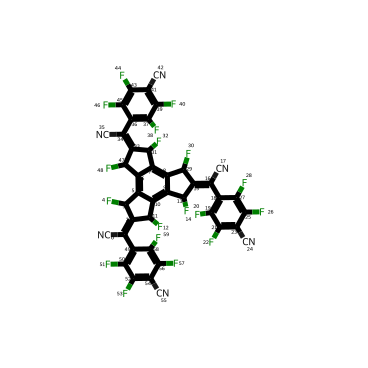 N#CC(=C1C(F)c2c3c(c4c(c2C1F)C(F)C(=C(C#N)c1c(F)c(F)c(C#N)c(F)c1F)C4F)C(F)C(=C(C#N)c1c(F)c(F)c(C#N)c(F)c1F)C3F)c1c(F)c(F)c(C#N)c(F)c1F